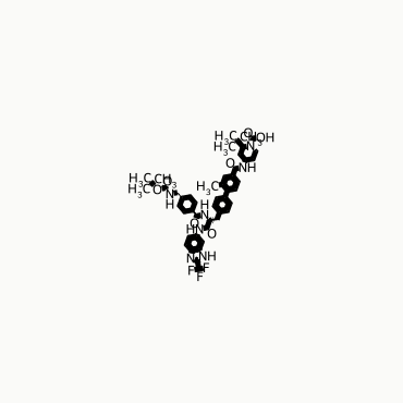 Cc1cc(C(=O)NC2CCN(C(=O)O)C(C(C)(C)C)C2)ccc1-c1ccc(C[C@H](NC(=O)[C@H]2CC[C@H](CNC(=O)OC(C)(C)C)CC2)C(=O)Nc2ccc3nc(C(F)(F)F)[nH]c3c2)cc1